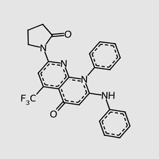 O=C1CCCN1c1cc(C(F)(F)F)c2c(=O)cc(Nc3ccccc3)n(-c3ccccc3)c2n1